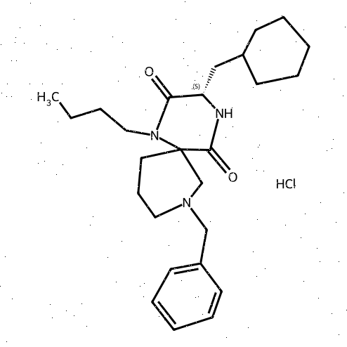 CCCCN1C(=O)[C@H](CC2CCCCC2)NC(=O)C12CCCN(Cc1ccccc1)C2.Cl